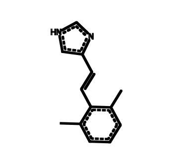 Cc1cccc(C)c1/C=C/c1c[nH]cn1